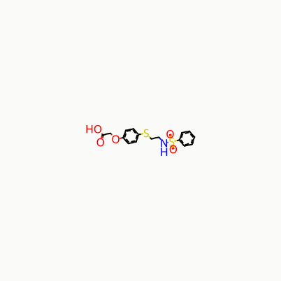 O=C(O)COc1ccc(SCCNS(=O)(=O)c2ccccc2)cc1